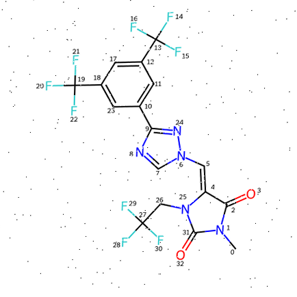 CN1C(=O)C(=Cn2cnc(-c3cc(C(F)(F)F)cc(C(F)(F)F)c3)n2)N(CC(F)(F)F)C1=O